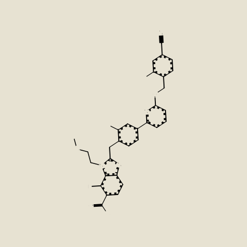 COCCn1c(Cc2ccc(-c3cccc(OCc4ccc(C#N)cc4F)n3)cc2F)nc2ccc(C(=O)O)c(F)c21